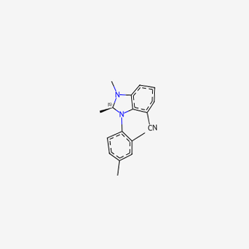 Cc1ccc(N2c3c(C#N)cccc3N(C)[C@@H]2C)c(C)c1